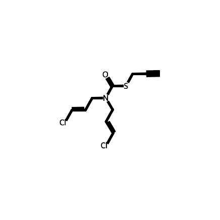 C#CCSC(=O)N(CC=CCl)CC=CCl